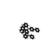 c1ccc(-c2ccc(N(c3ccc4c5ccccc5n(-c5ccccc5)c4c3)c3cccc4oc5cc6cnccc6cc5c34)cc2)cc1